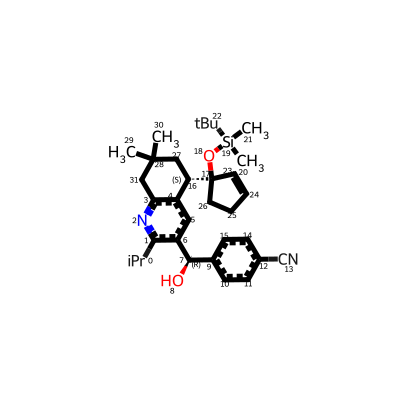 CC(C)c1nc2c(cc1[C@H](O)c1ccc(C#N)cc1)[C@@H](C1(O[Si](C)(C)C(C)(C)C)C=CCC1)CC(C)(C)C2